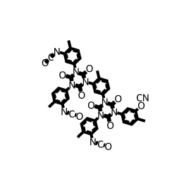 Cc1ccc(-n2c(=O)n(-c3ccc(C)c(OC#N)c3)c(=O)n(-c3ccc(C)c(-n4c(=O)n(-c5ccc(C)c(N=C=O)c5)c(=O)n(-c5ccc(C)c(N=C=O)c5)c4=O)c3)c2=O)cc1N=C=O